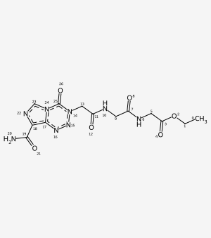 CCOC(=O)CNC(=O)CNC(=O)Cn1nnc2c(C(N)=O)ncn2c1=O